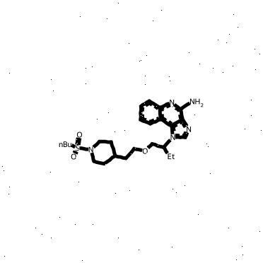 CCCCS(=O)(=O)N1CCC(CCOCC(CC)n2cnc3c(N)nc4ccccc4c32)CC1